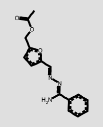 CC(=O)OCc1ccc(C=N/N=C(\N)c2ccccc2)o1